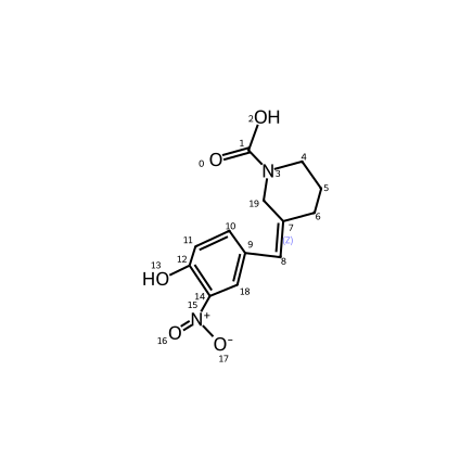 O=C(O)N1CCC/C(=C/c2ccc(O)c([N+](=O)[O-])c2)C1